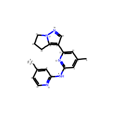 Cc1cc(Nc2cc(C(F)(F)F)ccn2)nc(-c2cnn3c2CCC3)c1